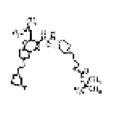 CN(C)/C=C1\Oc2ccc(CCc3cccc(F)c3)cc2N=C1NC(O)NC1CCN(CCCNC(=O)OC(C)(C)C)CC1